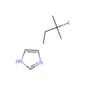 CCC(C)(C)I.c1c[nH]cn1